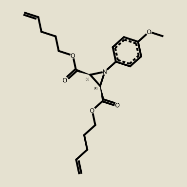 C=CCCCOC(=O)[C@@H]1[C@H](C(=O)OCCCC=C)N1c1ccc(OC)cc1